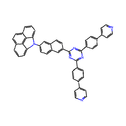 c1cc2ccc3cccc4c3c2c(c1)n4-c1ccc2cc(-c3nc(-c4ccc(-c5ccncc5)cc4)nc(-c4ccc(-c5ccncc5)cc4)n3)ccc2c1